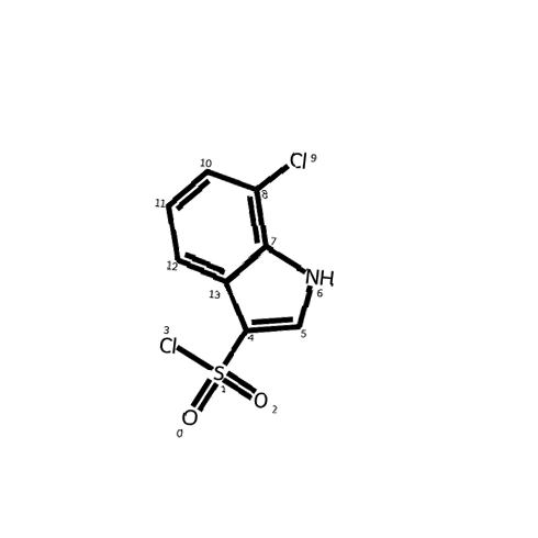 O=S(=O)(Cl)c1c[nH]c2c(Cl)cccc12